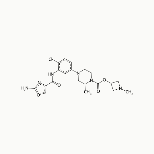 CC1CN(c2ccc(Cl)c(NC(=O)c3coc(N)n3)c2)CCN1C(=O)OC1CN(C)C1